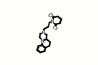 O=C1CCCC(=O)N1CCCN1CCN2c3ccccc3CCC2C1